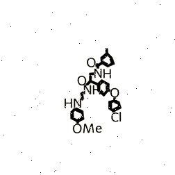 COc1ccc(NCCNC(=O)C(CNC(=O)c2cccc(C)c2)c2ccc(Oc3ccc(Cl)cc3)cc2)cc1